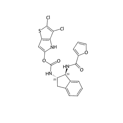 O=C(N[C@H]1Cc2ccccc2[C@@H]1NC(=O)c1ccco1)Oc1cc2sc(Cl)c(Cl)c2[nH]1